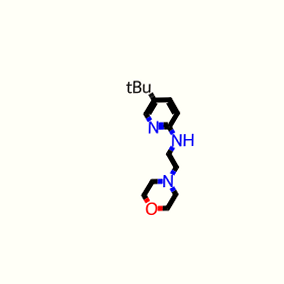 CC(C)(C)c1ccc(NCCN2CCOCC2)nc1